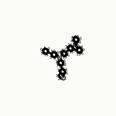 c1ccc(-c2ccc(N(c3ccc(-c4ccc5c(c4)CCO5)cc3)c3ccc(-c4ccc5c(c4)c4ccccc4n5-c4ccccc4)cc3)cc2)cc1